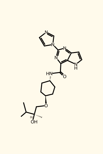 CC(C)[C@](C)(O)CO[C@H]1CC[C@H](NC(=O)c2nc(-n3ccnc3)nc3cc[nH]c23)CC1